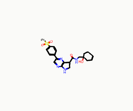 CC(C)S(=O)(=O)c1ccc(-c2cnc3c(n2)C(C(=O)NCC2(O)CCCCC2)CN3)cc1